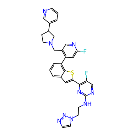 Fc1cc(-c2cccc3cc(-c4nc(NCCn5ccnn5)ncc4F)sc23)c(CN2CCC(c3cccnc3)C2)cn1